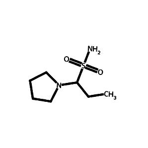 CCC(N1CCCC1)S(N)(=O)=O